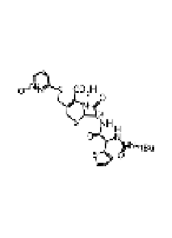 CC(C)(C)NC(=O)NC(C(=O)N[C@H]1C(=O)N2C(C(=O)O)=C(CSc3ccc[n+]([O-])n3)CSC12)c1cccs1